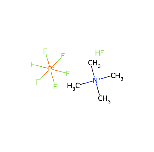 C[N+](C)(C)C.F.F[P-](F)(F)(F)(F)F